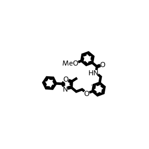 COc1cccc(C(=O)NCc2[c]c(OCCc3nc(-c4ccccc4)oc3C)ccc2)c1